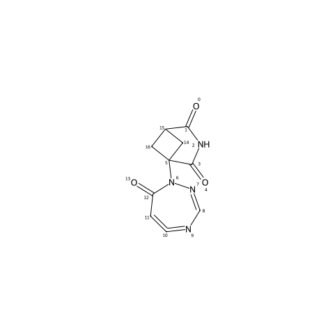 O=C1NC(=O)C2(N3N=CN=C=CC3=O)CC1C2